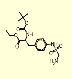 CCOC(=O)[C@H](Cc1ccc(NS(=O)(=O)CN)cc1)NC(=O)OC(C)(C)C